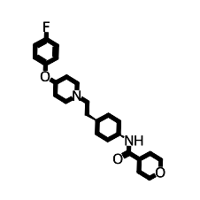 O=C(N[C@H]1CC[C@H](CCN2CCC(Oc3ccc(F)cc3)CC2)CC1)C1CCOCC1